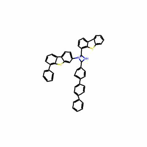 c1ccc(-c2ccc(-c3ccc(C4NC(c5cccc6c5sc5ccccc56)=[N+]4c4ccc5c(c4)sc4c(-c6ccccc6)cccc45)cc3)cc2)cc1